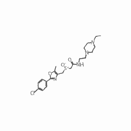 CCN1CCN(CCNC(=O)C[S+]([O-])Cc2nc(-c3ccc(Cl)cc3)oc2C)CC1